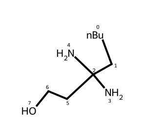 CCCCCC(N)(N)CCO